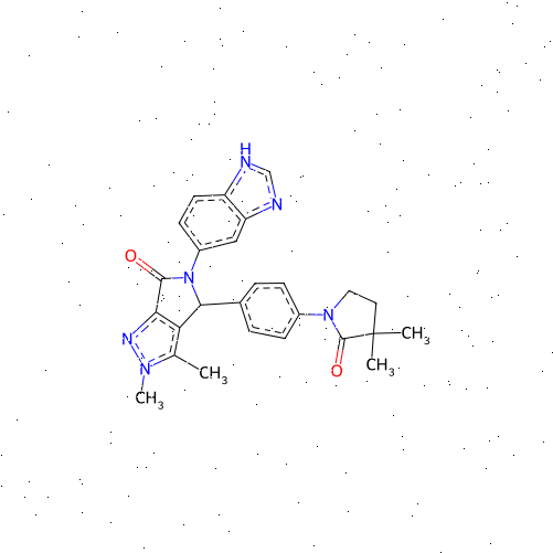 Cc1c2c(nn1C)C(=O)N(c1ccc3[nH]cnc3c1)C2c1ccc(N2CCC(C)(C)C2=O)cc1